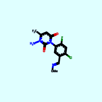 CON=Cc1cc(-n2c(=O)cc(C(F)(F)F)n(N)c2=O)c(F)cc1Cl